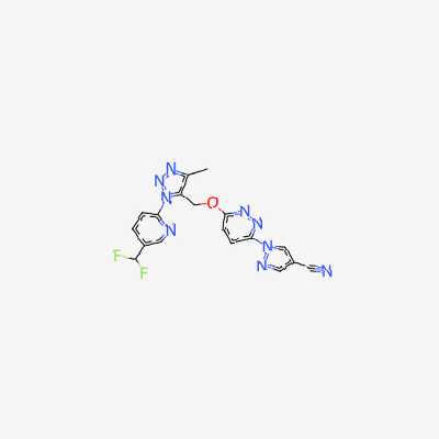 Cc1nnn(-c2ccc(C(F)F)cn2)c1COc1ccc(-n2cc(C#N)cn2)nn1